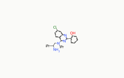 CC(C)C(N)CN(c1nc(-c2ccccc2O)nc2cc(Cl)ccc12)C(C)C